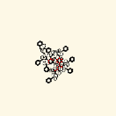 CCCCOCC1OC(OC2C3OC(c4ccccc4)OCC3OC(OC3C(COCCCC)OC(OCCN(Cc4ccccc4)C(=O)c4ccccc4)C(OC(=O)c4ccccc4)C3OC(=O)c3ccccc3)C2OC(=O)c2ccccc2)C(OC(=O)c2ccccc2)C(OC(=O)c2ccccc2)C1OC1OC2COC(c3ccccc3)OC2C(O)C1OC(=O)c1ccccc1